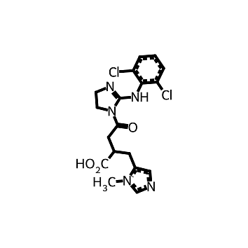 Cn1cncc1CC(CC(=O)N1CCN=C1Nc1c(Cl)cccc1Cl)C(=O)O